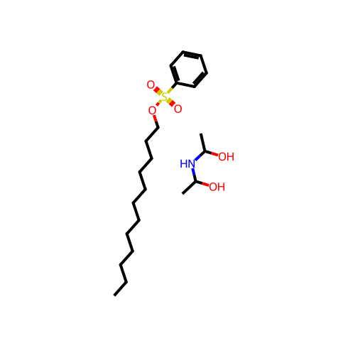 CC(O)NC(C)O.CCCCCCCCCCCCOS(=O)(=O)c1ccccc1